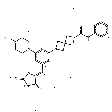 CN1CCN(c2cc(/C=C3\SC(=O)NC3=O)nc(N3CC4(CN(C(=O)Nc5ccccc5)C4)C3)n2)CC1